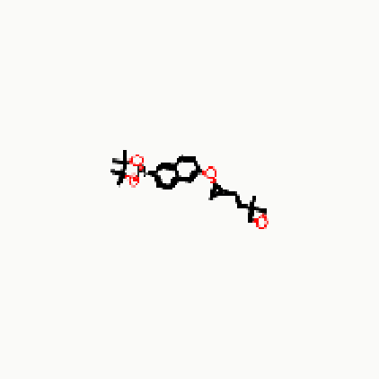 CC1(CCC2CC2Oc2ccc3cc(B4OC(C)(C)C(C)(C)O4)ccc3c2)COC1